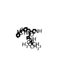 CC(C)(C)OC(=O)NC1CCC1C(=O)NC(Cc1ccc(Oc2nc3ccccc3s2)cc1)C1CCNCC1